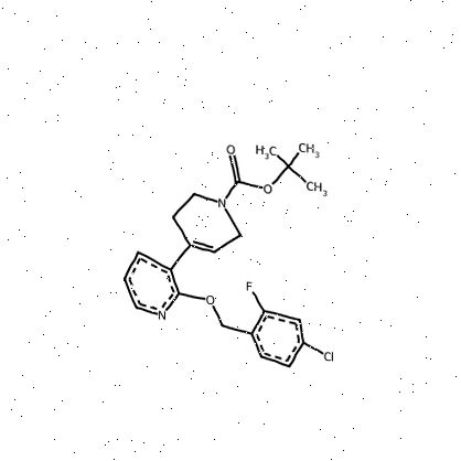 CC(C)(C)OC(=O)N1CC=C(c2cccnc2OCc2ccc(Cl)cc2F)CC1